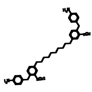 CCCCCCCCc1cc(CCCCCCCCCCc2ccc(Cc3ccc(N)cc3)c(CCCCCCCC)c2)ccc1Cc1ccc(N)cc1